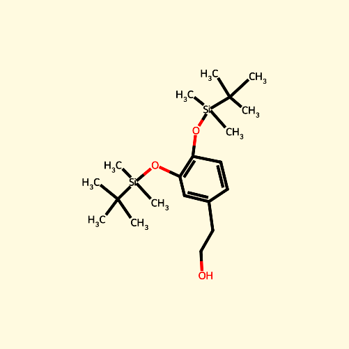 CC(C)(C)[Si](C)(C)Oc1ccc(CCO)cc1O[Si](C)(C)C(C)(C)C